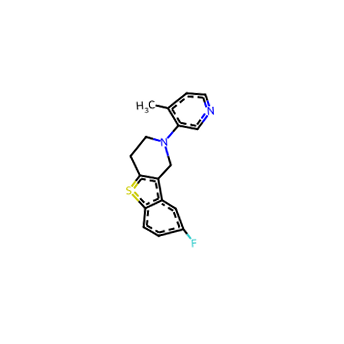 Cc1ccncc1N1CCc2sc3ccc(F)cc3c2C1